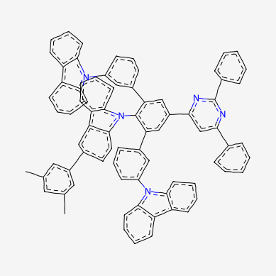 Cc1cc(C)cc(-c2ccc3c(c2)c2ccccc2n3-c2c(-c3cccc(-n4c5ccccc5c5ccccc54)c3)cc(-c3cc(-c4ccccc4)nc(-c4ccccc4)n3)cc2-c2cccc(-n3c4ccccc4c4ccccc43)c2)c1